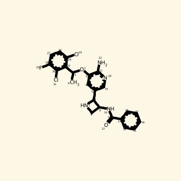 CC(Oc1cc(C2NCC2NC(=O)c2ccccc2)cnc1N)c1c(Cl)ccc(F)c1Cl